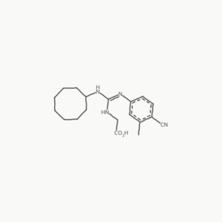 Cc1cc(N=C(NCC(=O)O)NC2CCCCCCC2)ccc1C#N